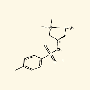 Cc1ccc(S(=O)(=O)N[C@H](CC(=O)O)C[N+](C)(C)C)cc1.[I-]